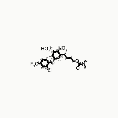 CN(C)C(=O)OCC=CCc1cc(Oc2ccc(C(F)(F)F)cc2Cl)cc(C(=O)O)c1[N+](=O)[O-]